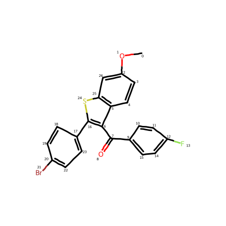 COc1ccc2c(C(=O)c3ccc(F)cc3)c(-c3ccc(Br)cc3)sc2c1